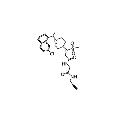 C#CCNC(=O)CNC(=O)CN(C1CCN(C(C)c2cccc3ccc(Cl)cc23)CC1)S(C)(=O)=O